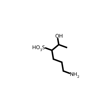 CC(O)C(CCCN)S(=O)(=O)O